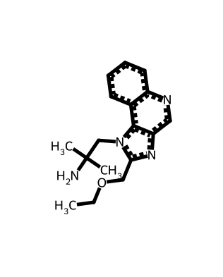 CCOCc1nc2cnc3ccccc3c2n1CC(C)(C)N